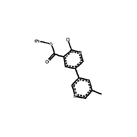 Cc1cncc(-c2cnc(Cl)c(C(=O)OC(C)C)c2)c1